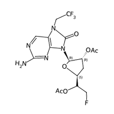 CC(=O)OC(CF)[C@@H]1C[C@@H](OC(C)=O)[C@H](n2c(=O)n(CC(F)(F)F)c3cnc(N)nc32)O1